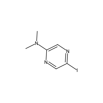 CN(C)c1cnc(I)cn1